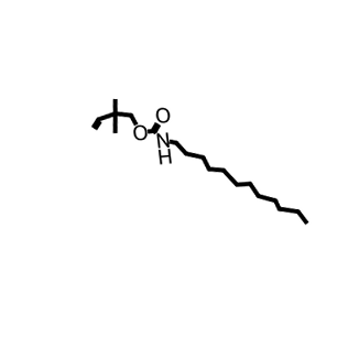 C=CC(C)(C)COC(=O)NCCCCCCCCCCCC